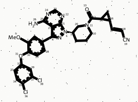 COc1cc(-c2nn([C@@H]3CCCN(C(=O)C4CC4C=CC#N)C3)c3ncnc(N)c23)ccc1Oc1ccc(Cl)c(Cl)c1